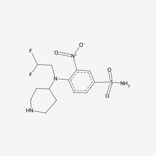 NS(=O)(=O)c1ccc(N(CC(F)F)C2CCNCC2)c([N+](=O)[O-])c1